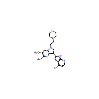 COc1cc2c(nc1OC)C(c1cc3c(Cl)ccnc3[nH]1)CN2CCN1CCOCC1